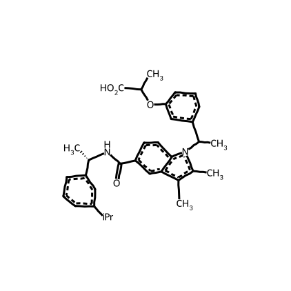 Cc1c(C)n(C(C)c2cccc(OC(C)C(=O)O)c2)c2ccc(C(=O)N[C@@H](C)c3cccc(C(C)C)c3)cc12